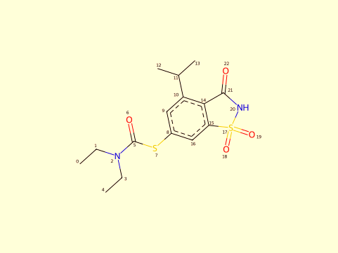 CCN(CC)C(=O)Sc1cc(C(C)C)c2c(c1)S(=O)(=O)NC2=O